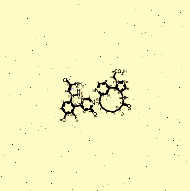 C[C@@H]1CCC[C@H](n2cnc(-c3c(N(N)/C=C(\N)Cl)ccc(Cl)c3F)cc2=O)c2cc(ccn2)-c2c(cnn2CC(=O)O)NC1=O